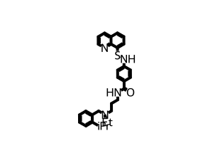 CCN(CCCNC(=O)c1ccc(NSc2cccc3cccnc23)cc1)Cc1ccccc1C(C)C